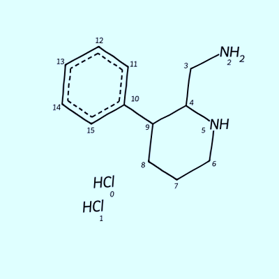 Cl.Cl.NCC1NCCCC1c1ccccc1